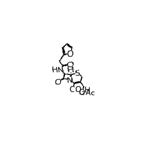 CC(=O)OCC1=C(C(=O)O)N2C(=O)C(NC(=O)Cc3ccco3)[C@H]2SC1